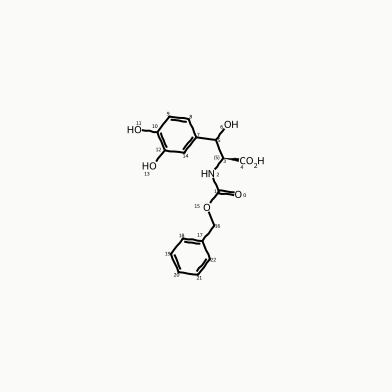 O=C(N[C@H](C(=O)O)C(O)c1ccc(O)c(O)c1)OCc1ccccc1